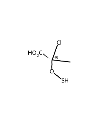 C[C@](Cl)(OS)C(=O)O